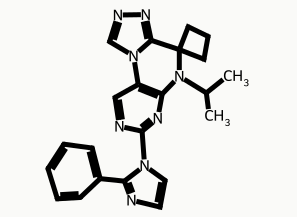 CC(C)N1c2nc(-n3ccnc3-c3ccccc3)ncc2-n2cnnc2C12CCC2